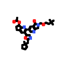 CC(=O)OC1CCc2cc(-c3cnc(CC4(C)CCCC4)o3)c(-c3cnc4c(c3)C(=O)N(COCC[Si](C)(C)C)C4)nc21